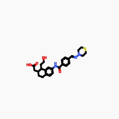 O=C(O)CC1CCc2ccc(NC(=O)c3ccc(C=NN4CCSCC4)cc3)cc2C1CCO